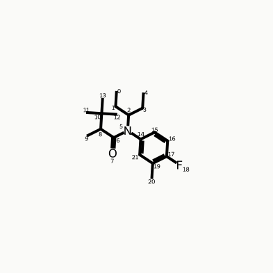 CCC(CC)N(C(=O)C(C)C(C)(C)C)c1ccc(F)c(C)c1